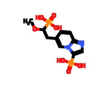 COC(Cc1ccc2ncc(P(=O)(O)O)n2c1)P(=O)(O)O